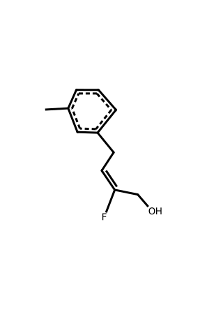 Cc1cccc(C/C=C(/F)CO)c1